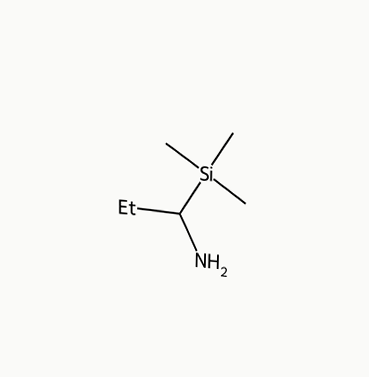 [CH2]CC(N)[Si](C)(C)C